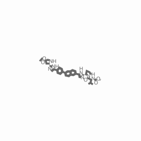 COC(=O)N[C@H](C(=O)N1CCC[C@H]1c1ncc(-c2ccc3cc(-c4ccc(-c5cnc([C@@H]6CC7(CN6)OCCO7)[nH]5)cc4)ccc3c2)[nH]1)C(C)C